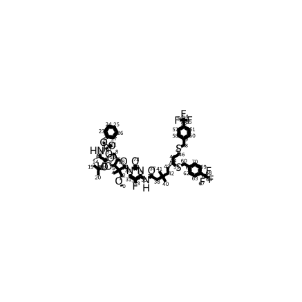 COCC1(C)C(O)[C@@H](COP(=O)(N[C@@H](C)C(=O)OC(C)C)Oc2ccccc2)O[C@H]1n1cc(F)c(NC(=O)CC(C)(C)CC[C@H](CCSCc2ccc(C(F)(F)F)cc2)SCc2ccc(C(F)(F)F)cc2)nc1=O